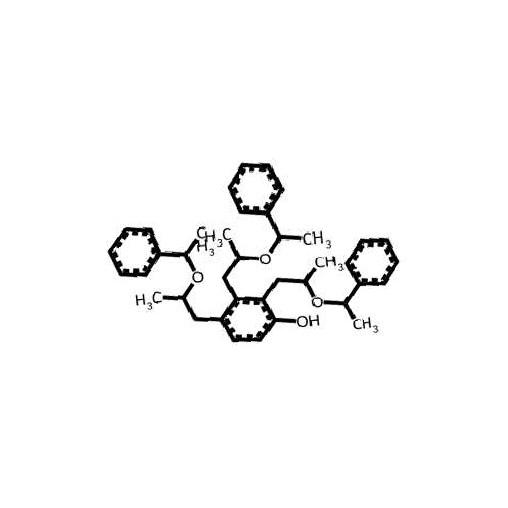 CC(Cc1ccc(O)c(CC(C)OC(C)c2ccccc2)c1CC(C)OC(C)c1ccccc1)OC(C)c1ccccc1